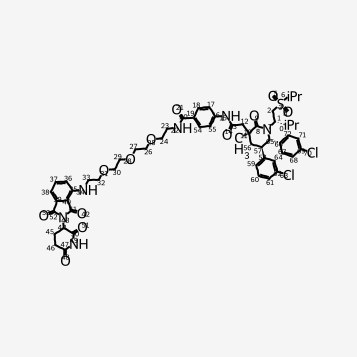 CC(C)[C@@H](CS(=O)(=O)C(C)C)N1C(=O)[C@@](C)(CC(=O)Nc2ccc(C(=O)NCCOCCOCCOCCNc3cccc4c3C(=O)N(C3CCC(=O)NC3=O)C4=O)cc2)C[C@H](c2cccc(Cl)c2)[C@H]1c1ccc(Cl)cc1